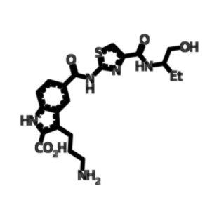 CCC(CO)NC(=O)c1csc(NC(=O)c2ccc3[nH]c(C(=O)O)c(CCCN)c3c2)n1